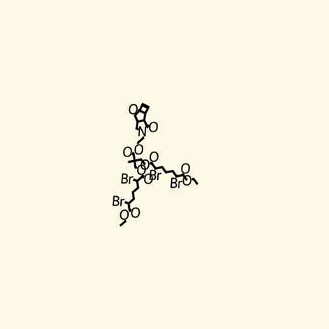 CCOC(=O)C(Br)CCCC(Br)C(=O)OCC(C)(COC(=O)C(Br)CCCC(Br)C(=O)OCC)C(=O)OCCN1CC2C(C1=O)C1C=CC13OC23